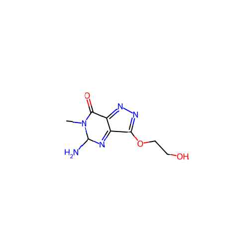 CN1C(=O)C2=NN=C(OCCO)C2=NC1N